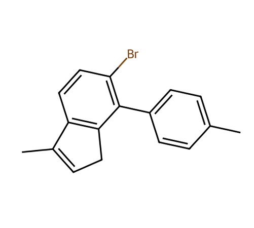 CC1=CCc2c1ccc(Br)c2-c1ccc(C)cc1